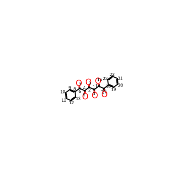 O=C(C(=O)C(=O)C(=O)c1ccccc1)C(=O)C(=O)c1ccccc1